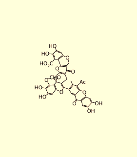 CC(=O)c1c(C)c(-c2oc3cc(O)c(O)c(OC=O)c3c(=O)c2Cc2c(C)oc3c(c2=O)COc2cc(O)c(O)c(C(=O)O)c2-3)cc2c(=O)c3cc(O)c(O)cc3oc12